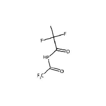 CC(F)(F)C(=O)PC(=O)C(F)(F)F